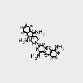 Nc1nc(N2CCC3(CC2)[C@H](N)c2ccccc2[C@H]3N)cnc1Sc1ccnc(N)c1Cl